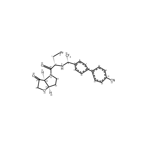 CC(C)C[C@H](N[C@@H](c1ccc(-c2ccc(C#N)cc2)cc1)C(F)(F)F)C(=O)N1CC[C@H]2OCC(=O)[C@H]21